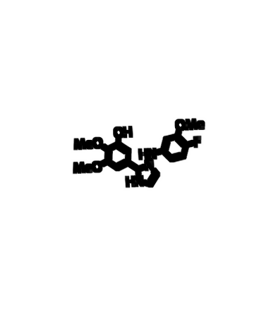 COc1cc(NN2C=CNC2c2cc(O)c(OC)c(OC)c2)ccc1F